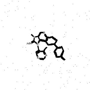 Cc1ccc(-c2ccc3ncc4c(c3c2)n(-c2cncnc2C)c(=N)n4C)cc1